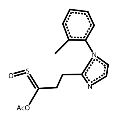 CC(=O)OC(CCc1nccn1-c1ccccc1C)=S=O